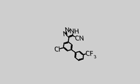 N#Cc1[nH]nnc1-c1cc(Cl)cc(-c2cccc(C(F)(F)F)c2)c1